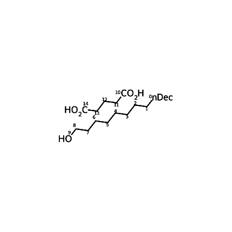 CCCCCCCCCCCCCCCCCCO.O=C(O)CCCC(=O)O